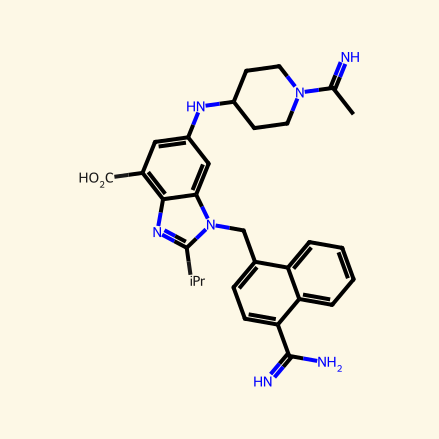 CC(=N)N1CCC(Nc2cc(C(=O)O)c3nc(C(C)C)n(Cc4ccc(C(=N)N)c5ccccc45)c3c2)CC1